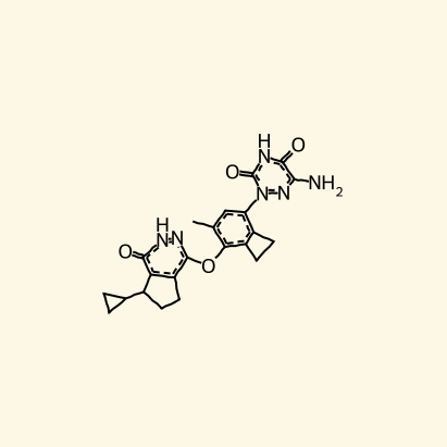 Cc1cc(-n2nc(N)c(=O)[nH]c2=O)c2c(c1Oc1n[nH]c(=O)c3c1CCC3C1CC1)CC2